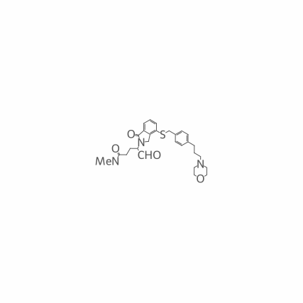 CNC(=O)CCC(C=O)N1Cc2c(SCc3ccc(CCCN4CCOCC4)cc3)cccc2C1=O